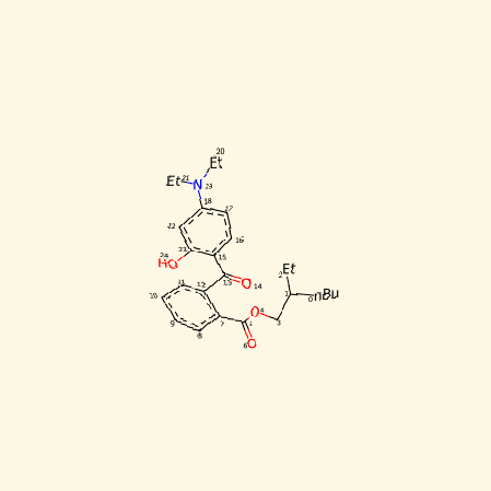 CCCCC(CC)COC(=O)c1ccccc1C(=O)c1ccc(N(CC)CC)cc1O